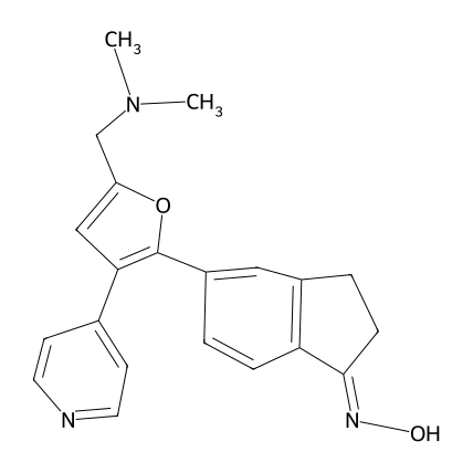 CN(C)Cc1cc(-c2ccncc2)c(-c2ccc3c(c2)CCC3=NO)o1